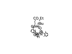 CCOC(=O)CCCCN1C(=O)c2cccc(n2)S(=O)(=O)Nc2nc(cc(-c3c(C)cccc3C)n2)OC[C@H]1CC(C)(C)C